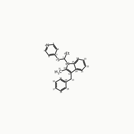 CCC(Sc1ccncc1)n1c(C)c(Cc2ccccc2)c2ccccc21